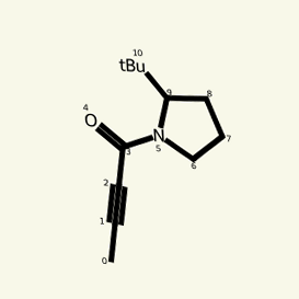 CC#CC(=O)N1CCCC1C(C)(C)C